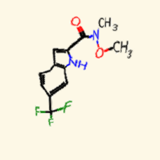 CON(C)C(=O)c1cc2ccc(C(F)(F)F)cc2[nH]1